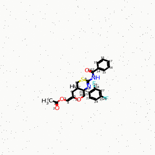 CC(=O)OC=C1C[C@H]2CSC(NC(=O)c3ccccc3)=N[C@@]2(c2ccc(F)cc2F)CO1